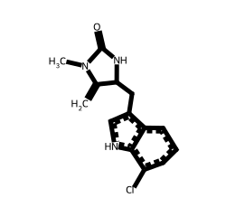 C=C1C(Cc2c[nH]c3c(Cl)cccc23)NC(=O)N1C